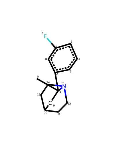 CC1(c2cccc(F)c2)CC2CCN1CC2